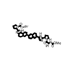 COC(=O)NC(C(=O)N1CCCC1c1ncc(-c2ccc3cc(-c4ccc5c(c4)CCc4nc(C6CCCN6C(=O)OC(C)(C)C)[nH]c4-5)ccc3c2)[nH]1)C(C)C